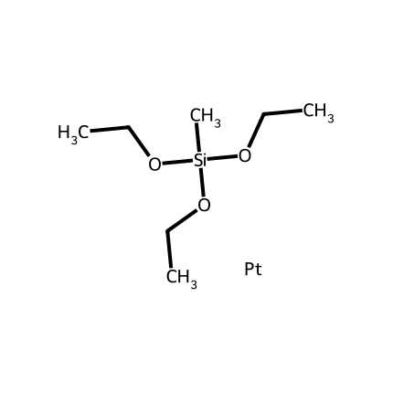 CCO[Si](C)(OCC)OCC.[Pt]